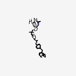 C/C(N)=C/C(=O)OCC(C)(C)COC/C(C)=C/c1ccc(Cc2cccnc2)cc1